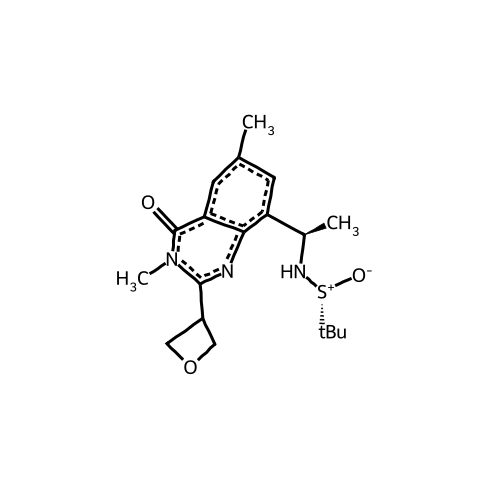 Cc1cc([C@@H](C)N[S@+]([O-])C(C)(C)C)c2nc(C3COC3)n(C)c(=O)c2c1